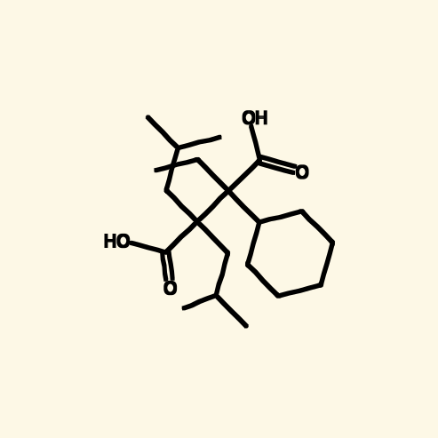 CCC(C(=O)O)(C1CCCCC1)C(CC(C)C)(CC(C)C)C(=O)O